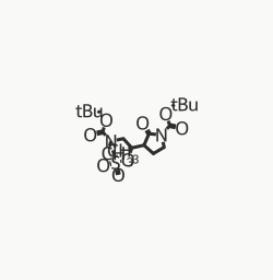 CN(CC(OS(C)(=O)=O)C1CCN(C(=O)OC(C)(C)C)C1=O)C(=O)OC(C)(C)C